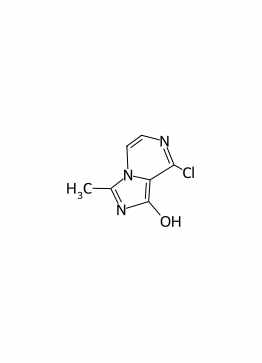 Cc1nc(O)c2c(Cl)nccn12